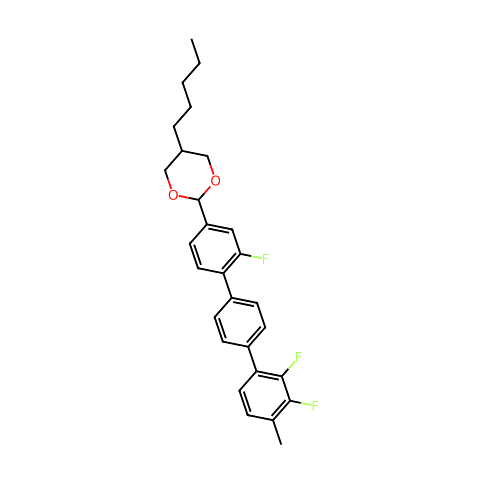 CCCCCC1COC(c2ccc(-c3ccc(-c4ccc(C)c(F)c4F)cc3)c(F)c2)OC1